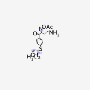 C/C=C\C(=C/C)Sc1ccc(C(=O)/C(CCN)=N/OC(C)=O)cc1